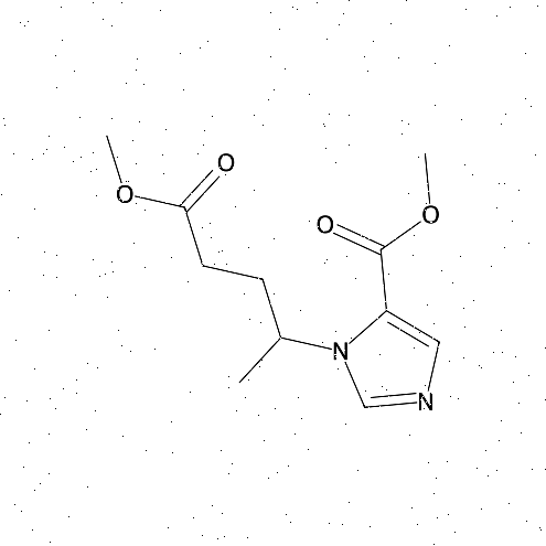 COC(=O)CCC(C)n1cncc1C(=O)OC